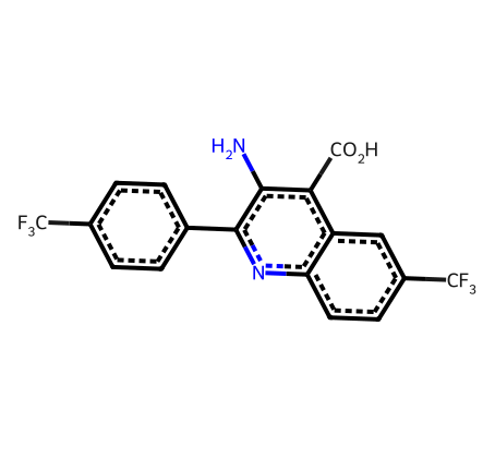 Nc1c(-c2ccc(C(F)(F)F)cc2)nc2ccc(C(F)(F)F)cc2c1C(=O)O